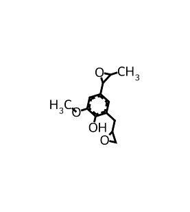 COc1cc(C2OC2C)cc(CC2CO2)c1O